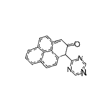 O=C1C=c2ccc3cccc4ccc(c2c43)C1c1ncncn1